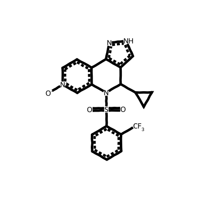 O=S(=O)(c1ccccc1C(F)(F)F)N1c2c[n+]([O-])ccc2-c2n[nH]cc2C1C1CC1